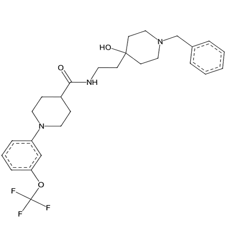 O=C(NCCC1(O)CCN(Cc2ccccc2)CC1)C1CCN(c2cccc(OC(F)(F)F)c2)CC1